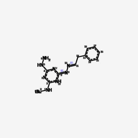 CC(C)(C)Nc1nc(NN)n/c(=N\N=C\Cc2ccccc2)[nH]1